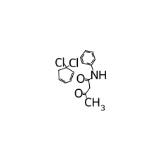 CC(=O)CC(=O)Nc1ccccc1.ClC1(Cl)C=CC=CC1